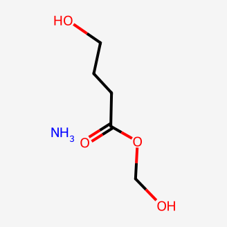 N.O=C(CCCO)OCO